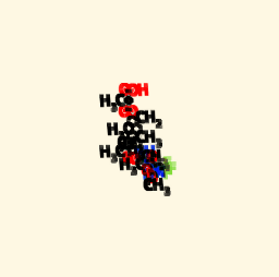 C=C1C2CC[C@@]3(C)C4CC[C@@]5(NC(=O)C(C)(C)NC(=O)c6cc(C(F)(F)F)nn6C(=O)OCC)CC(=O)C(C(C)C)=C5[C@H]4CCC3[C@@]2(C)CC[C@@H]1OC(=O)[C@H]1C[C@@H](C(=O)O)[C@H]1C